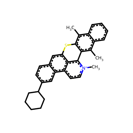 Cc1c2c(c(C)c3ccccc13)-c1c3c(cc4ccc(C5CCCCC5)cc4c3cc[n+]1C)S2